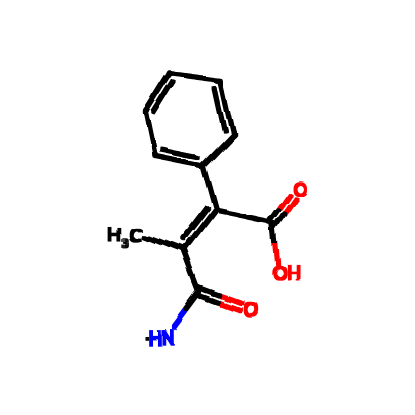 C/C(C([NH])=O)=C(/C(=O)O)c1ccccc1